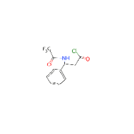 O=C(Cl)CC(NC(=O)C(F)(F)F)c1ccccc1